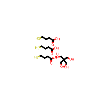 O=C(O)CCCS.O=C(O)CCCS.O=C(O)CCCS.OCC(CO)(CO)CO